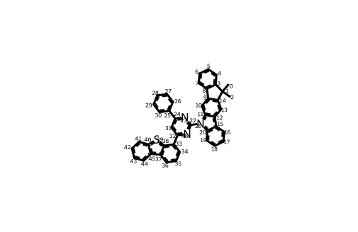 CC1(C)c2ccccc2-c2cc3c(cc21)c1ccccc1n3-c1nc(-c2ccccc2)cc(-c2cccc3c2sc2ccccc23)n1